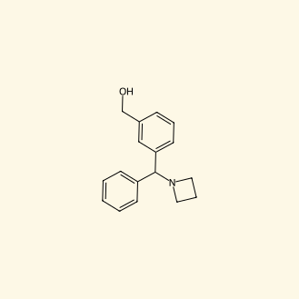 OCc1cccc(C(c2ccccc2)N2CCC2)c1